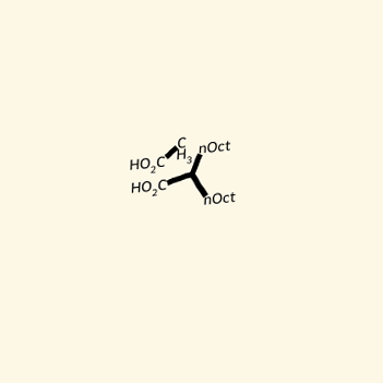 CC(=O)O.CCCCCCCCC(CCCCCCCC)C(=O)O